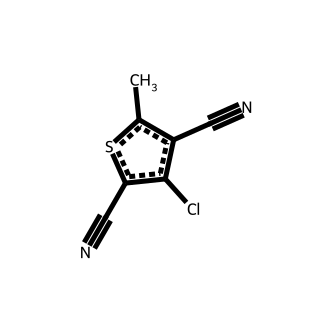 Cc1sc(C#N)c(Cl)c1C#N